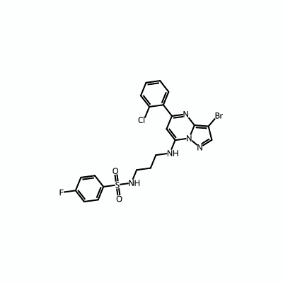 O=S(=O)(NCCCNc1cc(-c2ccccc2Cl)nc2c(Br)cnn12)c1ccc(F)cc1